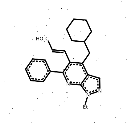 CCn1ncc2c(CC3CCCCC3)c(/C=C/C(=O)O)c(-c3ccccc3)nc21